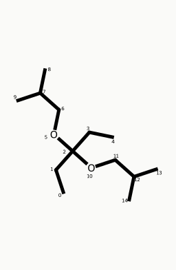 CCC(CC)(OCC(C)C)OCC(C)C